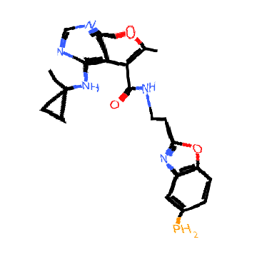 Cc1oc2ncnc(NC3(C)CC3)c2c1C(=O)NCCc1nc2cc(P)ccc2o1